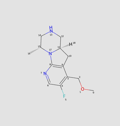 COCc1c(F)cnc2c1C[C@@H]1CNC[C@@H](C)N21